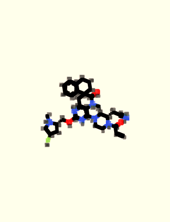 C=CC(=O)N1CCN(c2nc(OC[C@@H]3C[C@@H](F)CN3C)nc3c2N(C)C(=O)C2(CCCc4ccccc42)C3)C[C@@H]1CC#N